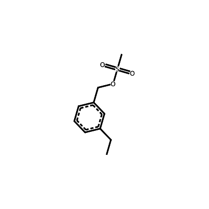 CCc1cccc(COS(C)(=O)=O)c1